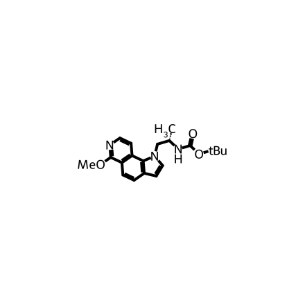 COc1nccc2c1ccc1ccn(C[C@H](C)NC(=O)OC(C)(C)C)c12